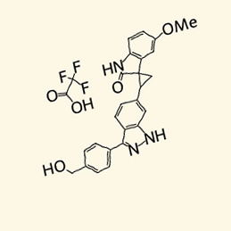 COc1ccc2c(c1)C1(CC1c1ccc3c(-c4ccc(CO)cc4)n[nH]c3c1)C(=O)N2.O=C(O)C(F)(F)F